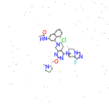 CC(=O)Nc1cc(N2CCc3c(nc(OC[C@@H]4CCCN4C)nc3N3Cc4c(F)ncn4C[C@H]3C)C2)c2c(Cl)cccc2c1